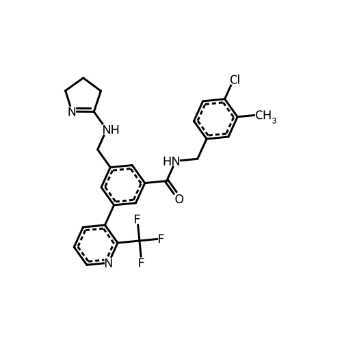 Cc1cc(CNC(=O)c2cc(CNC3=NCCC3)cc(-c3cccnc3C(F)(F)F)c2)ccc1Cl